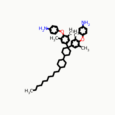 CCCCCCCCCCC1CCC(C2CCC(c3cc(C)c(Oc4ccc(N)cc4)c(C)c3)(c3cc(C)c(Oc4ccc(N)cc4)c(C)c3)CC2)CC1